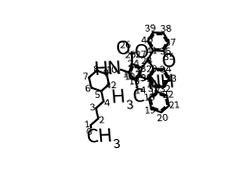 CCCCCC1CCCC(Nc2cc(C)c(Nc3ccccc3)c3c2C(=O)OC32c3ccccc3Oc3ccccc32)C1